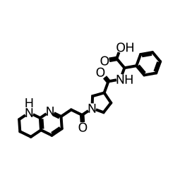 O=C(NC(C(=O)O)c1ccccc1)C1CCN(C(=O)Cc2ccc3c(n2)NCCC3)C1